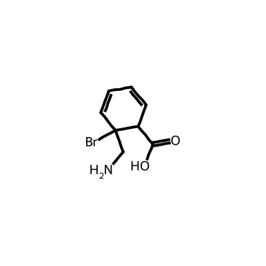 NCC1(Br)C=CC=CC1C(=O)O